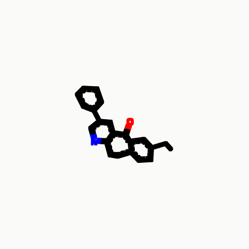 CCc1ccc2ccc3ncc(-c4ccccc4)cc3c(=O)c2c1